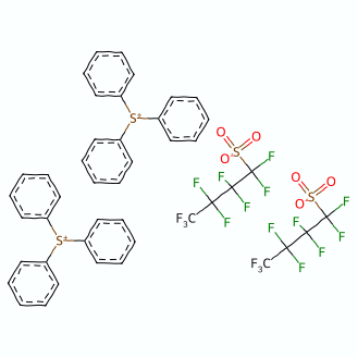 O=S(=O)([O-])C(F)(F)C(F)(F)C(F)(F)C(F)(F)F.O=S(=O)([O-])C(F)(F)C(F)(F)C(F)(F)C(F)(F)F.c1ccc([S+](c2ccccc2)c2ccccc2)cc1.c1ccc([S+](c2ccccc2)c2ccccc2)cc1